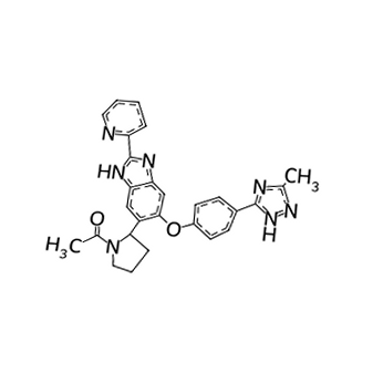 CC(=O)N1CCCC1c1cc2[nH]c(-c3ccccn3)nc2cc1Oc1ccc(-c2nc(C)n[nH]2)cc1